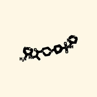 CC(Nc1ccccc1N)C(=O)N1CCN(c2ccc(S(=O)(=O)Nc3ccncn3)cc2)CC1